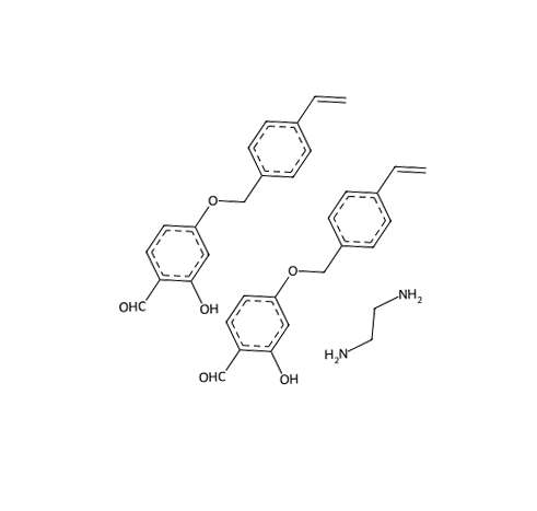 C=Cc1ccc(COc2ccc(C=O)c(O)c2)cc1.C=Cc1ccc(COc2ccc(C=O)c(O)c2)cc1.NCCN